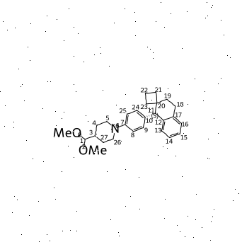 COC(OC)C1CCN(c2ccc([C@H]3c4ccccc4CCC34CCC4)cc2)CC1